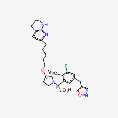 COc1c(F)cc(Cc2cnoc2)cc1[C@H](C(=O)O)N1CC[C@@H](OCCCCCc2ccc3c(n2)NCCC3)C1